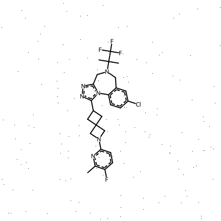 Cc1nc(N2CC3(CC(c4nnc5n4-c4ccc(Cl)cc4CN(C(C)(C)C(F)(F)F)C5)C3)C2)ccc1F